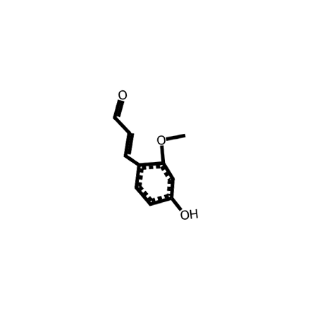 COc1cc(O)ccc1/C=C/C=O